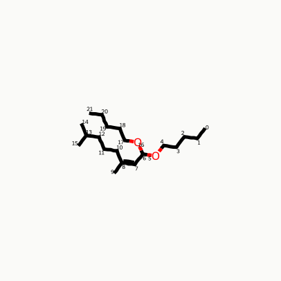 CCCCCOC(C=C(C)CCCC(C)C)OCCCCC